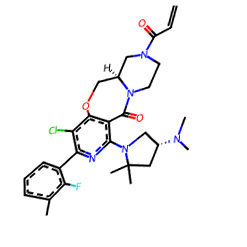 C=CC(=O)N1CCN2C(=O)c3c(N4C[C@H](N(C)C)CC4(C)C)nc(-c4cccc(C)c4F)c(Cl)c3OC[C@H]2C1